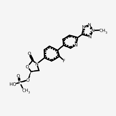 Cn1nnc(-c2ccc(-c3ccc(N4C[C@@H](OP(C)(=O)O)OC4=O)cc3F)cn2)n1